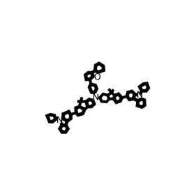 CC1(C)c2cc(-c3ccc4c(c3)c3ccccc3n4-c3ccccc3)ccc2-c2ccc(N(c3ccc(-c4cccc5c4oc4ccccc45)cc3)C3CCC4c5ccc(-c6ccc7c(c6)c6ccccc6n7-c6ccccc6)cc5C(C)(C)C4C3)cc21